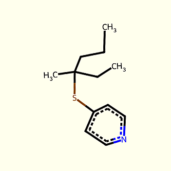 CCCC(C)(CC)Sc1ccncc1